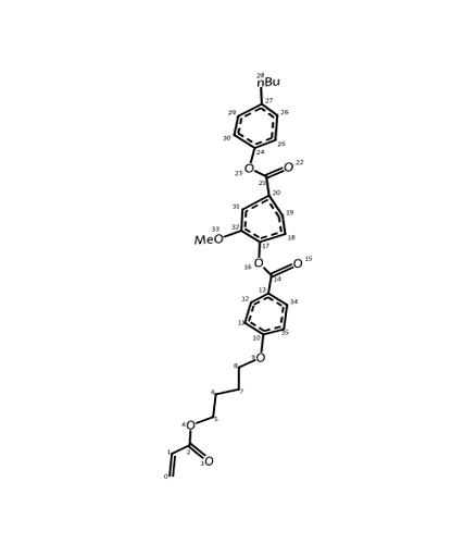 C=CC(=O)OCCCCOc1ccc(C(=O)Oc2ccc(C(=O)Oc3ccc(CCCC)cc3)cc2OC)cc1